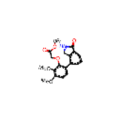 CCCOC(=O)COc1c(-c2cccc3c2CNC3=O)ccc(OC)c1OC